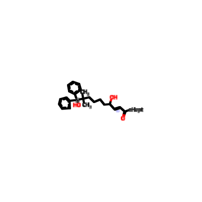 CCCCCCCC(=O)/C=C/C(O)CCCCC(C)(C)[Si](O)(c1ccccc1)c1ccccc1